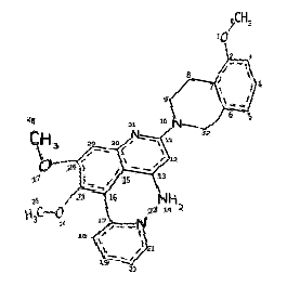 COc1cccc2c1CCN(c1cc(N)c3c(-c4ccccn4)c(OC)c(OC)cc3n1)C2